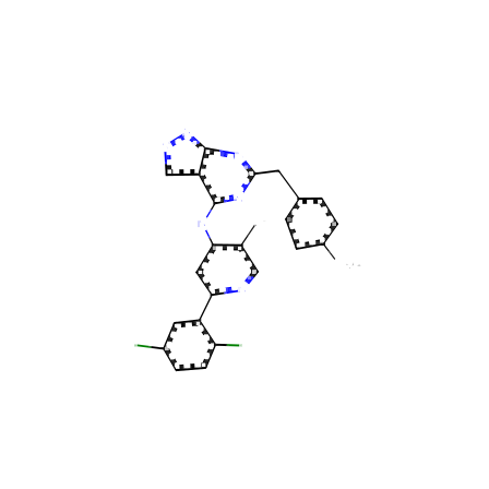 COc1ccc(Cc2nc(Nc3cc(-c4cc(Cl)ccc4F)ncc3C(C)C)c3cn[nH]c3n2)cc1